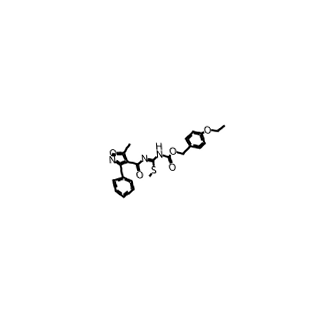 CCOc1ccc(COC(=O)N/C(=N/C(=O)c2c(-c3ccccc3)noc2C)SC)cc1